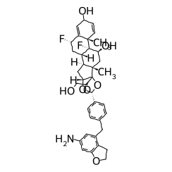 C[C@]12C=CC(O)C=C1[C@@H](F)C[C@H]1[C@@H]3C[C@H]4O[C@@H](c5ccc(Cc6cc(N)cc7c6CCO7)cc5)O[C@@]4(C(=O)CO)[C@@]3(C)C[C@H](O)[C@@]12F